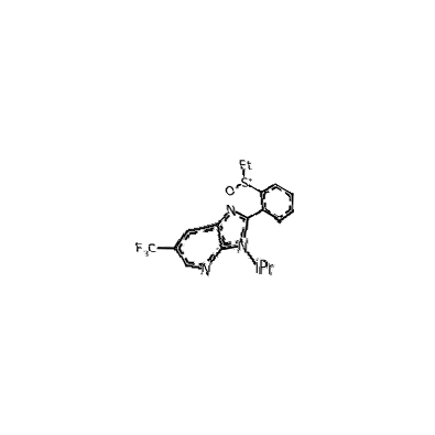 CC[S+]([O-])c1ccccc1-c1nc2cc(C(F)(F)F)cnc2n1C(C)C